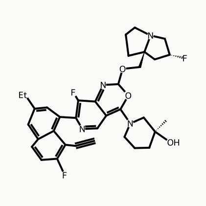 C#Cc1c(F)ccc2cc(CC)cc(-c3ncc4c(c3F)=NC(OC[C@@]35CCCN3C[C@H](F)C5)OC=4N3CCC[C@](C)(O)C3)c12